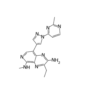 CCc1nc2c(NC)ncc(-c3cnn(-c4ccnc(C)n4)c3)c2nc1N